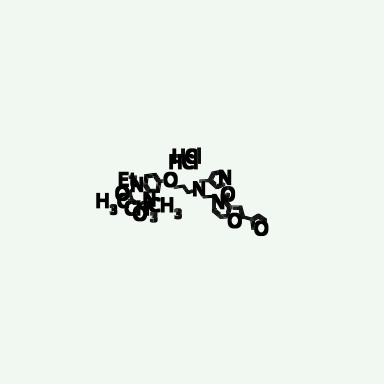 CCN1C(=O)C(C)(C)C(=O)N(C)c2cc(OCCCN(CCn3ccc4oc(-c5ccoc5)cc4c3=O)Cc3ccncc3)ccc21.Cl.Cl